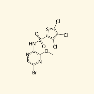 COc1nc(Br)cnc1NS(=O)(=O)c1sc(Cl)c(Cl)c1Cl